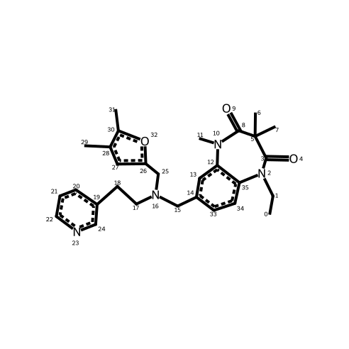 CCN1C(=O)C(C)(C)C(=O)N(C)c2cc(CN(CCc3cccnc3)Cc3cc(C)c(C)o3)ccc21